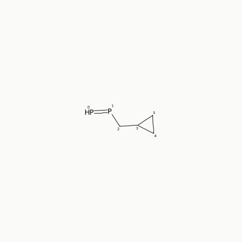 P=PCC1CC1